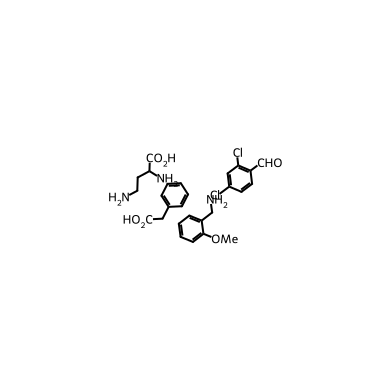 COc1ccccc1CN.NCCC(N)C(=O)O.O=C(O)Cc1ccccc1.O=Cc1ccc(Cl)cc1Cl